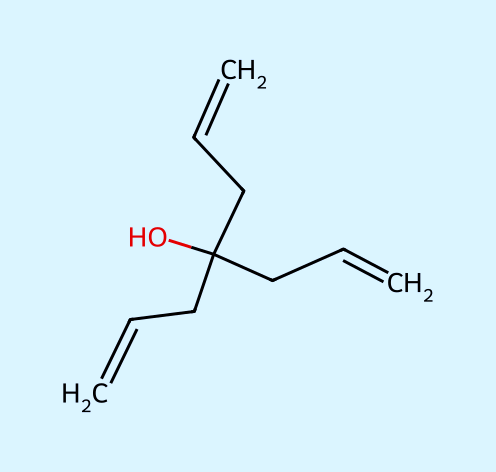 C=CCC(O)(CC=C)CC=C